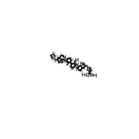 Cc1c(Nc2nccc3cc(CN4CCCC4)cnc23)cccc1-c1cccc(Nc2nccc3cc(CN4CCC(C(O)=P)C4)cnc23)c1C